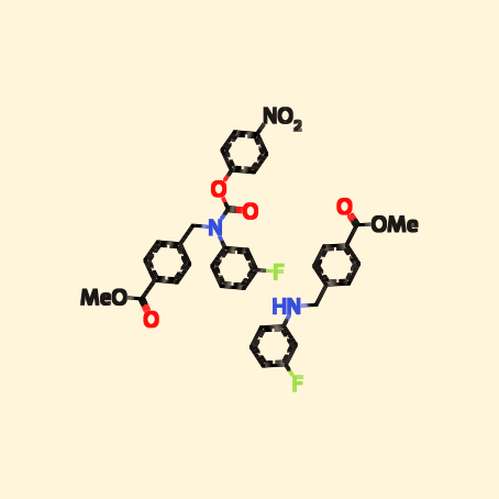 COC(=O)c1ccc(CN(C(=O)Oc2ccc([N+](=O)[O-])cc2)c2cccc(F)c2)cc1.COC(=O)c1ccc(CNc2cccc(F)c2)cc1